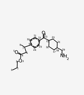 CCCOC(=O)CC(C)c1ccc(C(=O)C2CCC(CN)CC2)cc1